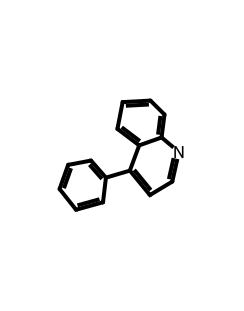 c1ccc(-c2ccnc3ccccc23)cc1